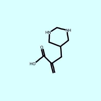 C=C(CC1CNCNC1)C(=O)O